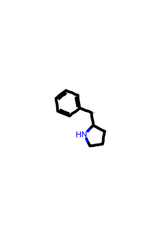 [CH](c1ccccc1)C1CCCN1